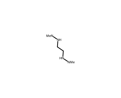 CNNCCNNC